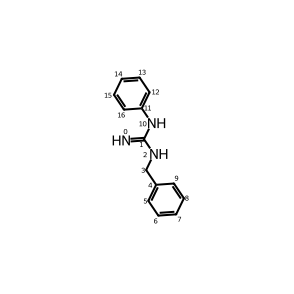 N=C(NCc1ccccc1)Nc1ccccc1